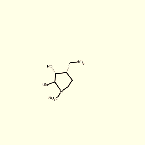 CC(C)(C)C1[C@H](O)[C@H](CN)CCN1C(=O)O